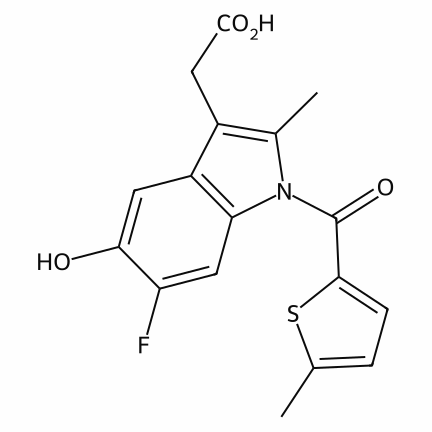 Cc1ccc(C(=O)n2c(C)c(CC(=O)O)c3cc(O)c(F)cc32)s1